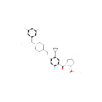 C[C@@H](c1cc(Cl)cc(Cl)c1)N1CCC(COc2cc(F)c(C(=O)N3C[C@H](Cl)C[C@H]3C(=O)O)cc2C2CC2)CC1